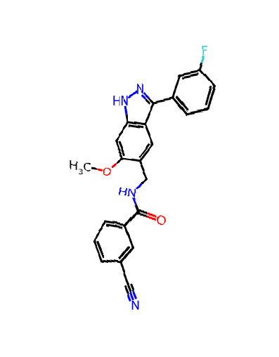 COc1cc2[nH]nc(-c3cccc(F)c3)c2cc1CNC(=O)c1cccc(C#N)c1